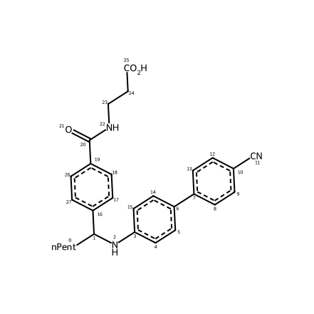 CCCCCC(Nc1ccc(-c2ccc(C#N)cc2)cc1)c1ccc(C(=O)NCCC(=O)O)cc1